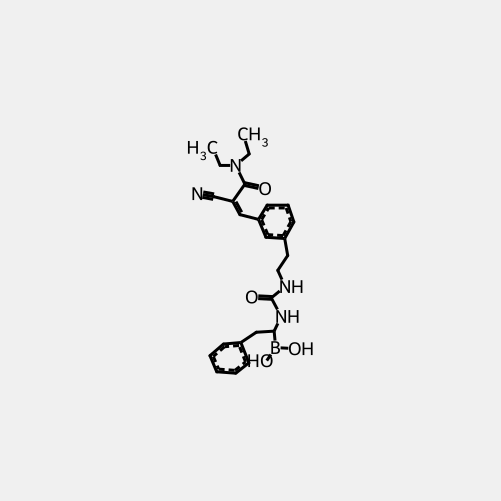 CCN(CC)C(=O)C(C#N)=Cc1cccc(CCNC(=O)NC(Cc2ccccc2)B(O)O)c1